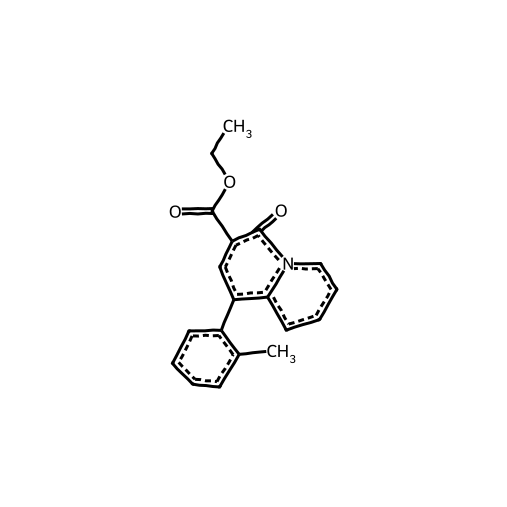 CCOC(=O)c1cc(-c2ccccc2C)c2ccccn2c1=O